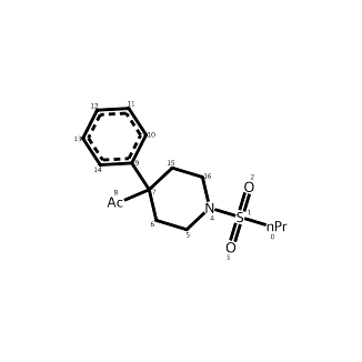 CCCS(=O)(=O)N1CCC(C(C)=O)(c2ccccc2)CC1